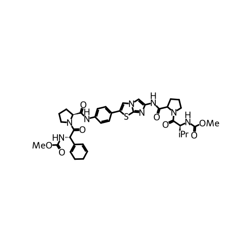 COC(=O)N[C@H](C(=O)N1CCC[C@H]1C(=O)Nc1ccc(-c2cn3cc(NC(=O)C4CCCN4C(=O)[C@@H](NC(=O)OC)C(C)C)nc3s2)cc1)C1=CCCC=C1